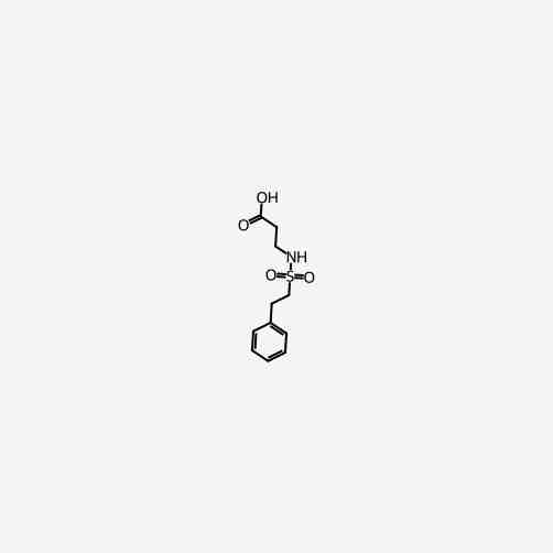 O=C(O)CCNS(=O)(=O)CCc1ccccc1